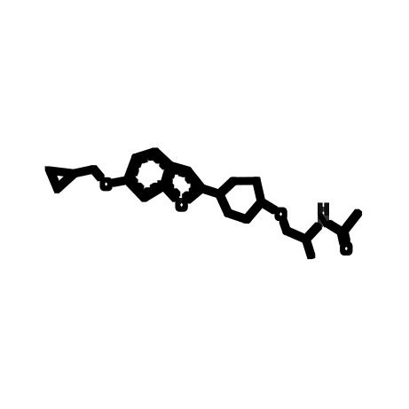 CC(=O)NC(C)COC1CCC(c2cc3ccc(OCC4CC4)cc3o2)CC1